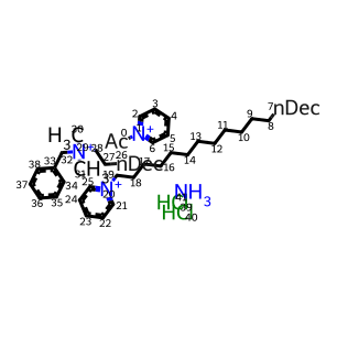 CC(=O)[n+]1ccccc1.CCCCCCCCCCCCCCCCCCCCCC[n+]1ccccc1.CCCCCCCCCCCC[N+](C)(C)Cc1ccccc1.Cl.Cl.N